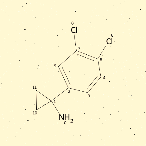 NC1(c2ccc(Cl)c(Cl)c2)CC1